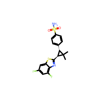 CC1(C)[C@@H](c2ccc(S(N)(=O)=O)cc2)[C@@H]1c1nc2c(F)cc(F)cc2s1